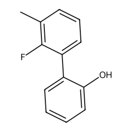 Cc1cccc(-c2ccccc2O)c1F